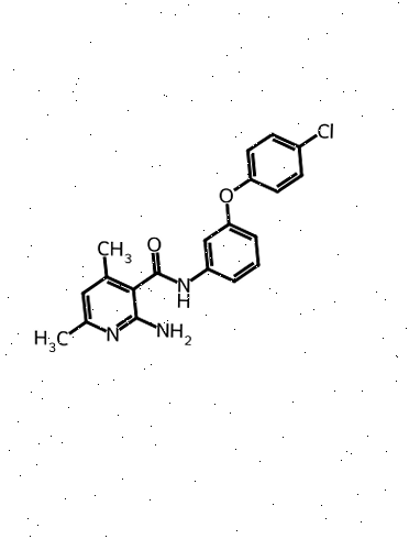 Cc1cc(C)c(C(=O)Nc2cccc(Oc3ccc(Cl)cc3)c2)c(N)n1